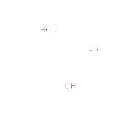 N#C/C(C(=O)O)=C(\O)C1CC1